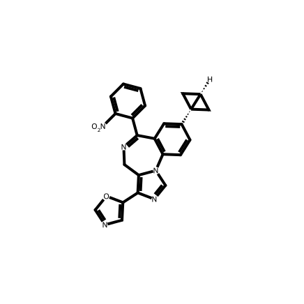 O=[N+]([O-])c1ccccc1C1=NCc2c(-c3cnco3)ncn2-c2ccc([C@]34C[C@H]3C4)cc21